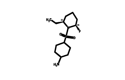 CC[C@H]1CCC[C@@H](F)N1S(=O)(=O)C1CCC(N)CC1